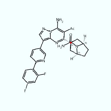 CC(=O)c1c([C@@H]2C[C@H]3CC[C@@H](C2)N3C(N)=O)nc2c(-c3ccc(-c4ccc(F)cc4F)nc3)cnn2c1N